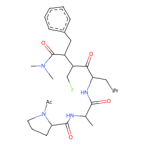 CC(=O)N1CCCC1C(=O)NC(C)C(=O)NC(CC(C)C)C(=O)C(CF)C(Cc1ccccc1)C(=O)N(C)C